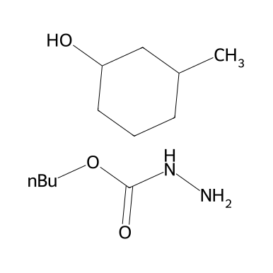 CC1CCCC(O)C1.CCCCOC(=O)NN